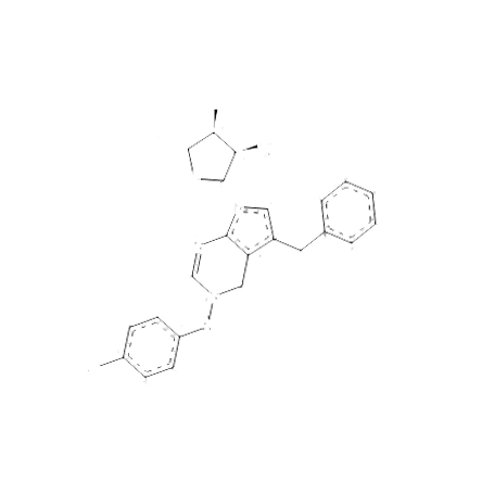 C[C@H]1O[C@@H](n2cc(Cc3ccccc3)c3c2N=CN(Nc2ccc(F)cc2)C3)[C@H](O)[C@@H]1O